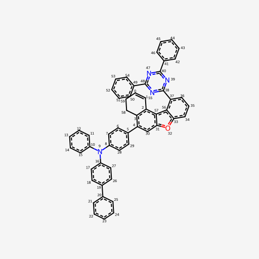 C1=Cc2c(c(-c3ccc(N(c4ccccc4)c4ccc(-c5ccccc5)cc4)cc3)cc3oc4cccc(-c5nc(-c6ccccc6)nc(-c6ccccc6)n5)c4c23)CC1